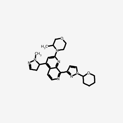 CC1COCCN1c1cc(C2CC=NN2C)c2ccnc(-c3ccn(C4CCCCO4)n3)c2n1